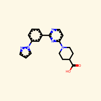 O=C(O)C1CCN(c2ccnc(-c3cccc(-n4cccn4)c3)n2)CC1